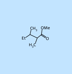 [CH]OC(=O)C(C)C(C)CC